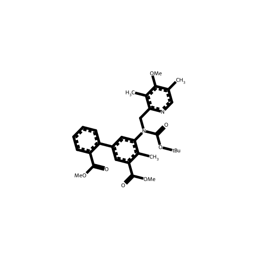 COC(=O)c1ccccc1-c1cc(C(=O)OC)c(C)c(N(Cc2ncc(C)c(OC)c2C)C(=O)OC(C)(C)C)c1